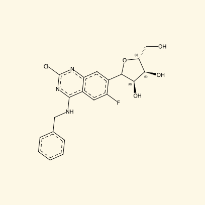 OC[C@H]1OC(c2cc3nc(Cl)nc(NCc4ccccc4)c3cc2F)[C@H](O)[C@@H]1O